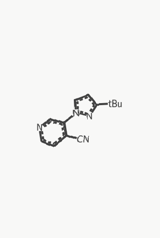 CC(C)(C)c1ccn(-c2cnccc2C#N)n1